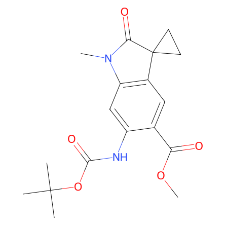 COC(=O)c1cc2c(cc1NC(=O)OC(C)(C)C)N(C)C(=O)C21CC1